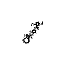 CN1C(Sc2ccc(NC(=O)c3cc(Cl)ccc3Cl)cc2)NNC1C1CCCCCCCC1